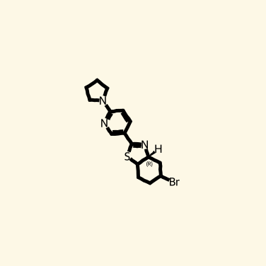 BrC1CCC2SC(c3ccc(N4CCCC4)nc3)=N[C@@H]2C1